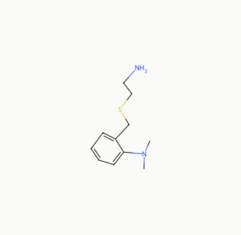 CN(C)c1ccccc1CSCCN